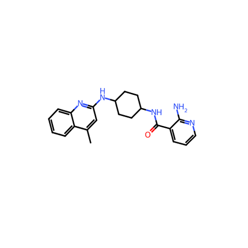 Cc1cc(NC2CCC(NC(=O)c3cccnc3N)CC2)nc2ccccc12